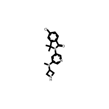 CN(c1cncc(N2C(=O)c3ccc(Cl)cc3C2(C)C)c1)C1CNC1